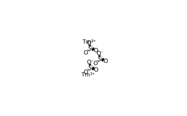 O=[Si]([O-])[O-].O=[Si]([O-])[O-].O=[Si]([O-])[O-].[Tm+3].[Tm+3]